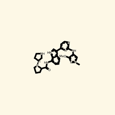 COc1nn(C)cc1Nc1nccc(-c2c[nH]c3c(NC(=O)C4CCCN4[C@H]4CCNC4)cccc23)n1